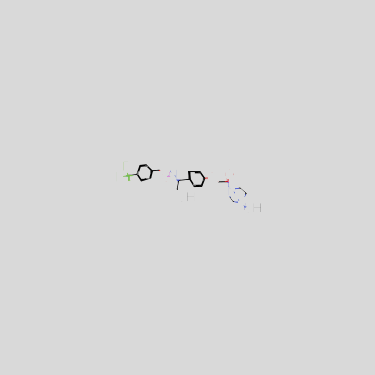 CC/C(=N\OCc1ccc(C(F)(F)F)cc1)c1ccc(OCC(=O)N2CCN(C)CC2)cc1